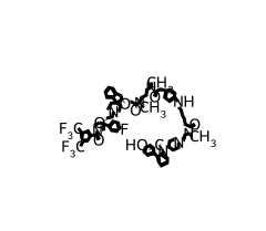 CN(CCN1CCC(N(C(=O)O)c2ccccc2-c2ccccc2)CC1)C(=O)CCCCCNc1ccc(CC(=O)N(C)CCCN(C)C(=O)CO[C@H]2Cc3ccccc3C23CCN(CC[C@]2(c4ccc(F)cc4)CN(C(=O)c4cc(C(F)(F)F)cc(C(F)(F)F)c4)CO2)CC3)cc1